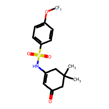 CC1(C)CC(=O)C=C(NS(=O)(=O)c2ccc(OC(F)(F)F)cc2)C1